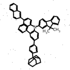 CC1(C)c2ccccc2-c2ccc(N(c3ccc(-c4ccc5ccccc5c4)cc3)c3ccc(-c4ccc(C56CC7CC(CC(C7)C5)C6)cc4)cc3-c3ccccc3)cc21